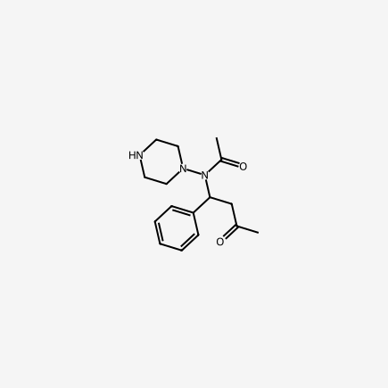 CC(=O)CC(c1ccccc1)N(C(C)=O)N1CCNCC1